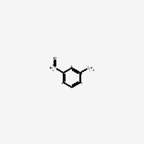 Nc1cccc([PH2]=O)c1